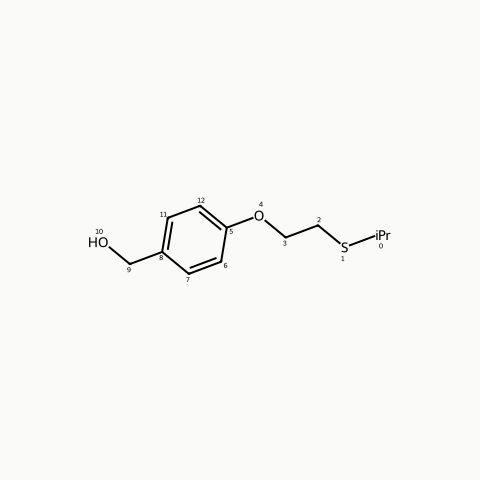 CC(C)SCCOc1ccc(CO)cc1